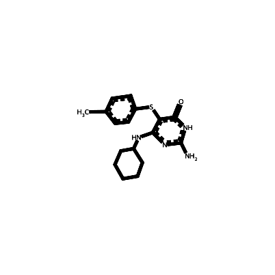 Cc1ccc(Sc2c(NC3CCCCC3)nc(N)[nH]c2=O)cc1